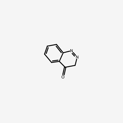 O=C1CN=Nc2ccccc21